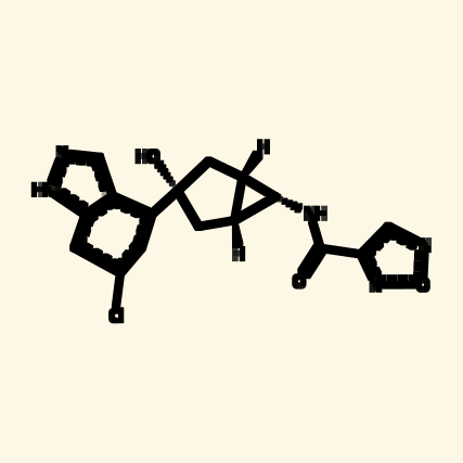 O=C(N[C@@H]1[C@@H]2C[C@@](O)(c3cc(Cl)cc4[nH]ncc34)C[C@@H]21)c1cnon1